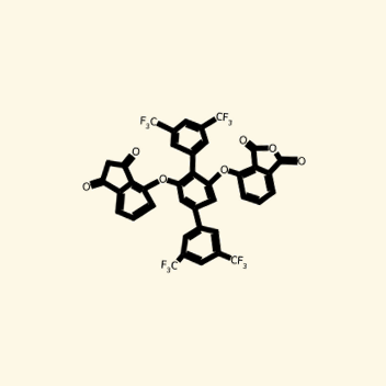 O=C1CC(=O)c2c(Oc3cc(-c4cc(C(F)(F)F)cc(C(F)(F)F)c4)cc(Oc4cccc5c4C(=O)OC5=O)c3-c3cc(C(F)(F)F)cc(C(F)(F)F)c3)cccc21